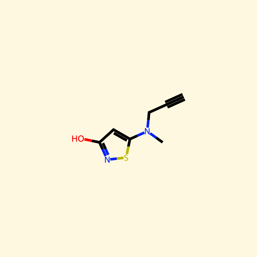 C#CCN(C)c1cc(O)ns1